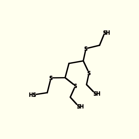 SCSC(CC(SCS)SCS)SCS